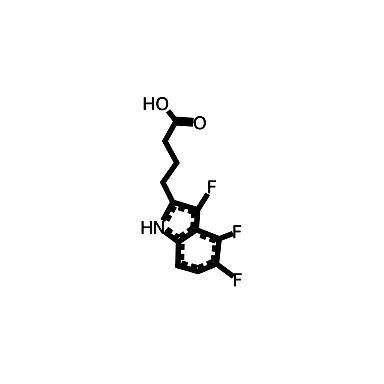 O=C(O)CCCc1[nH]c2ccc(F)c(F)c2c1F